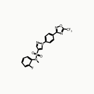 CN(c1ccccc1F)S(=O)(=O)c1cnn(-c2ccc(-c3noc(C(F)(F)F)n3)cc2)c1